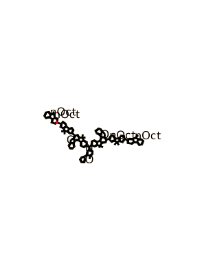 CCCCCCCCC1(CCCCCCCC)c2ccccc2-c2ccc(-c3ccc4c(c3)C(C)(C)c3cc(-c5cc6c(c7c5oc5ccccc57)-c5ccc(N(c7ccc8c(c7)C(C)(C)c7cc(-c9ccc%10c(c9)C(C)(C)c9cc(-c%11ccc%12c(c%11)C(CCCCCCCC)(CCCCCCCC)c%11ccccc%11-%12)ccc9-%10)c9oc%10ccccc%10c9c7-8)c7ccc8oc9ccccc9c8c7)cc5C6(C)C)ccc3-4)cc21